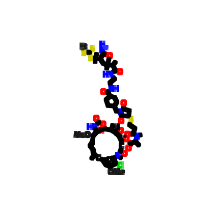 CCSC(=S)SC(C)(C)C(CC(C)(C)C(C)C(=O)NCCNC(=O)C1CCC(CN2C(=O)CC(SCCC(=O)N(C)C(C)C(=O)OC3CC(=O)N(C)c4cc(cc(OC)c4Cl)C/C(C)=C/C=C/[C@@H](OC)[C@@]4(O)CC(OC(=O)N4)C(C)[C@@H]4O[C@@]34C)C2=O)CC1)C(N)=O